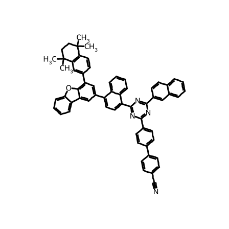 CC1(C)CCC(C)(C)c2cc(-c3cc(-c4ccc(-c5nc(-c6ccc(-c7ccc(C#N)cc7)cc6)nc(-c6ccc7ccccc7c6)n5)c5ccccc45)cc4c3oc3ccccc34)ccc21